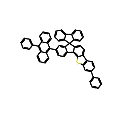 c1ccc(-c2ccc3c(c2)sc2c4c(ccc23)C2(c3ccccc3-c3ccccc32)c2cc(-c3c5ccccc5c(-c5ccccc5)c5ccccc35)ccc2-4)cc1